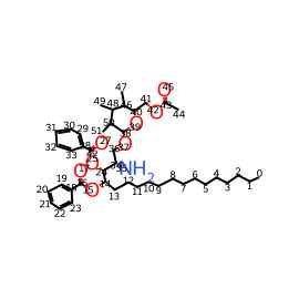 CCCCCCCCCCCCCC[C@@H](OC(=O)c1ccccc1)[C@@H](OC(=O)c1ccccc1)[C@@H](N)COC1OC(COC(C)=O)C(C)C(C)C1C